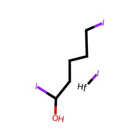 OC(I)CCCCI.[I][Hf]